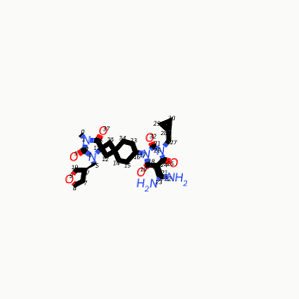 CN1C(=O)N(C[C@H]2CCOC2)C2(CC3(CCC(N4C(=O)C(=C(N)N)C(=O)N(CC5CC5)C4=O)CC3)C2)C1=O